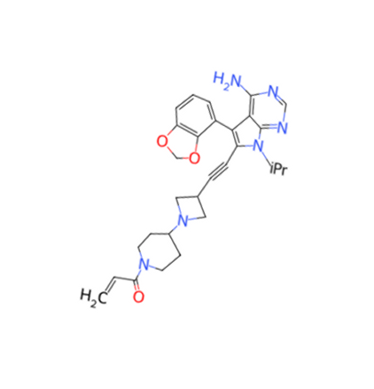 C=CC(=O)N1CCC(N2CC(C#Cc3c(-c4cccc5c4OCO5)c4c(N)ncnc4n3C(C)C)C2)CC1